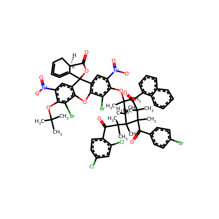 CC(C)(C)Oc1c([N+](=O)[O-])cc2c(c1Br)Oc1c(cc([N+](=O)[O-])c(OC(C)(C)C(C)(C)C(C)(C(C)(C)C(=O)c3ccc(Cl)cc3Cl)C(C)(C(=O)c3ccc(Br)cc3)C(C)(C)C(=O)c3cccc4ccccc34)c1Br)C21OC(=O)[C@@H]2CC=C=C=C21